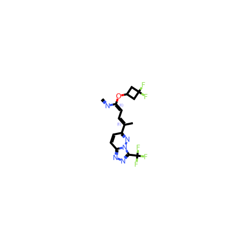 C=N/C(=C\C=C(/C)c1ccc2nnc(C(F)(F)F)n2n1)OC1CC(F)(F)C1